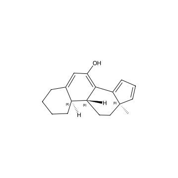 C[C@@]12C=CC=C1C1=C(O)C=C3CCCC[C@@H]3[C@H]1CC2